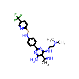 CC(=N)c1c(N)nc(-c2ccc(NSc3ccc(C(F)(F)F)cn3)cc2)nc1NCCN(C)C